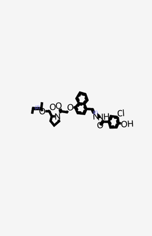 C/C=C(/C)OC(=O)C1CCCN1C(=O)COc1ccc(/C=N/NC(=O)c2ccc(O)c(Cl)c2)c2ccccc12